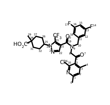 Cc1cc(C)c(C(=O)CN(Cc2cc(F)cc(F)c2)C(=O)c2cnn(C3CCC(C)(C(=O)O)CC3)c2C(F)(F)F)c(Cl)n1